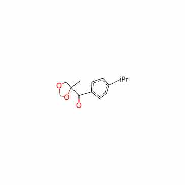 CC(C)c1ccc(C(=O)C2(C)COCO2)cc1